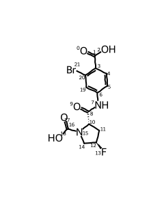 O=C(O)c1ccc(NC(=O)[C@@H]2C[C@@H](F)CN2C(=O)O)cc1Br